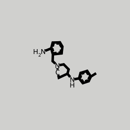 Cc1ccc(NC2CCN(Cc3ccccc3N)CC2)cc1